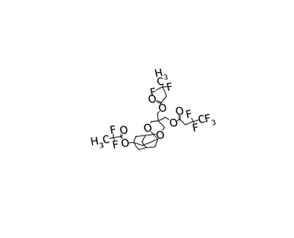 CC(F)(F)CC(=O)OCC1(COC(=O)CC(F)(F)C(F)(F)F)COC2(OC1)C1CC3CC2CC(OC(=O)C(C)(F)F)(C3)C1